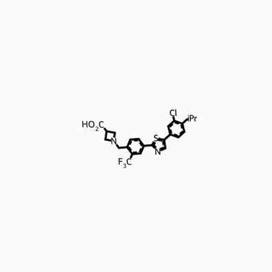 CC(C)c1ccc(-c2cnc(-c3ccc(CN4CC(C(=O)O)C4)c(C(F)(F)F)c3)s2)cc1Cl